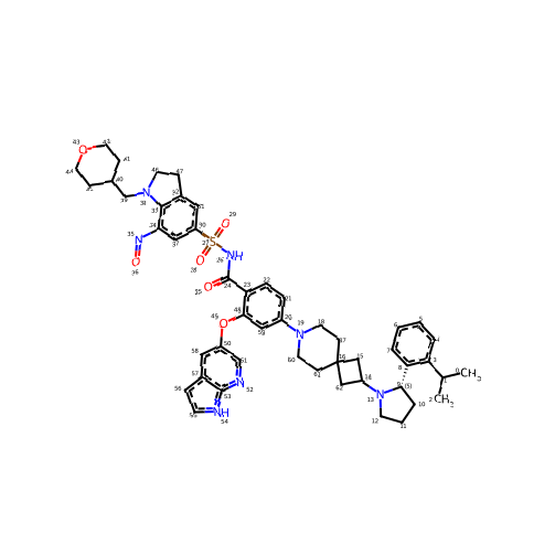 CC(C)c1ccccc1[C@@H]1CCCN1C1CC2(CCN(c3ccc(C(=O)NS(=O)(=O)c4cc5c(c(N=O)c4)N(CC4CCOCC4)CC5)c(Oc4cnc5[nH]ccc5c4)c3)CC2)C1